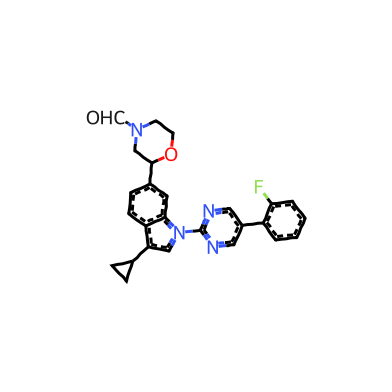 O=CN1CCOC(c2ccc3c(C4CC4)cn(-c4ncc(-c5ccccc5F)cn4)c3c2)C1